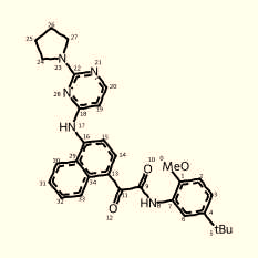 COc1ccc(C(C)(C)C)cc1NC(=O)C(=O)c1ccc(Nc2ccnc(N3CCCC3)n2)c2ccccc12